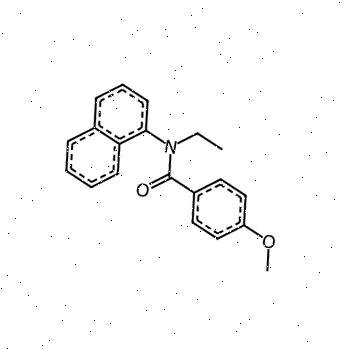 CCN(C(=O)c1ccc(OC)cc1)c1cccc2ccccc12